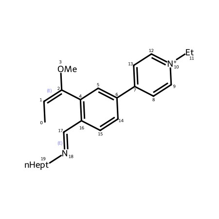 C/C=C(/OC)c1cc(-c2cc[n+](CC)cc2)ccc1/C=N/CCCCCCC